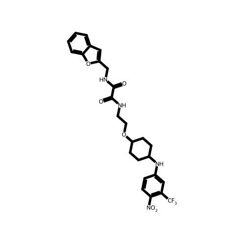 O=C(NCCOC1CCC(Nc2ccc([N+](=O)[O-])c(C(F)(F)F)c2)CC1)C(=O)NCc1cc2ccccc2o1